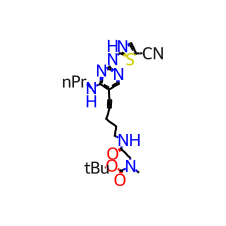 CCCNc1nc(Nc2ncc(C#N)s2)ncc1C#CCCCNC(=O)CN(C)C(=O)OC(C)(C)C